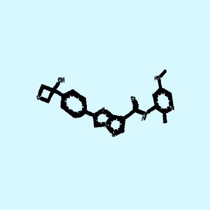 CNc1cnc(C)c(NC(=O)c2cnn3cc(-c4ccc(C5(O)COC5)cc4)sc23)c1